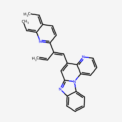 C=C/C(=C\c1cc2nc3ccccc3n2c2cccnc12)c1ccc(=C/C)/c(=C\C)n1